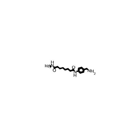 NCc1ccc(NC(=O)CCCCCCC(=O)NO)cc1